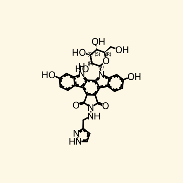 O=C1c2c(c3c4ccc(O)cc4n([C@@H]4O[C@H](CO)[C@@H](O)[C@H](O)[C@H]4O)c3c3[nH]c4cc(O)ccc4c23)C(=O)N1NCc1cc[nH]n1